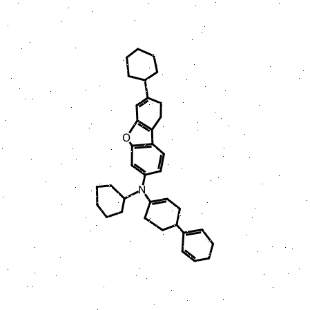 C1=CC(C2CC=C(N(c3ccc4c5c(oc4c3)C=C(C3CCCCC3)CC5)C3CCCCC3)CC2)=CCC1